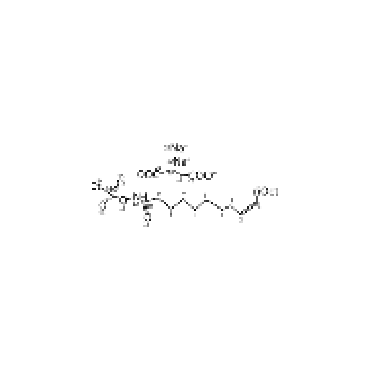 CCCCCCCC/C=C\CCCCCCCC(=O)NOS(=O)(=O)CC.O=C([O-])CCC(=O)[O-].[Na+].[Na+]